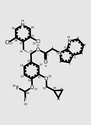 O=C(Cn1ccc2cccnc21)O[C@@H](Cc1c(Cl)cncc1Cl)c1ccc(OC(F)F)c(OCC2CC2)c1